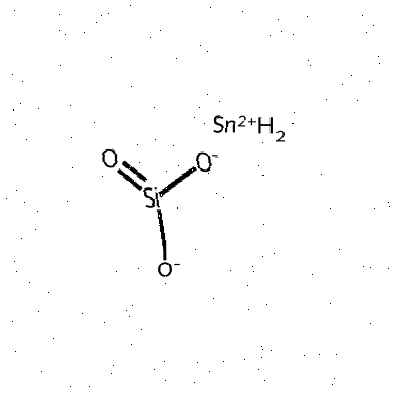 O=[Si]([O-])[O-].[SnH2+2]